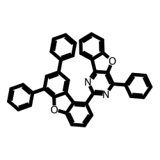 c1ccc(-c2cc(-c3ccccc3)c3oc4cccc(-c5nc(-c6ccccc6)c6oc7ccccc7c6n5)c4c3c2)cc1